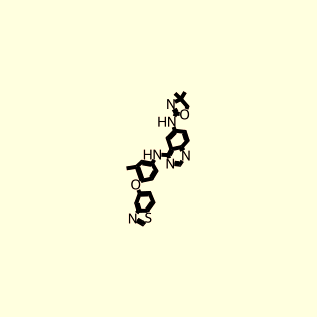 Cc1cc(Nc2ncnc3ccc(NC4=NC(C)(C)CO4)cc23)ccc1Oc1ccc2scnc2c1